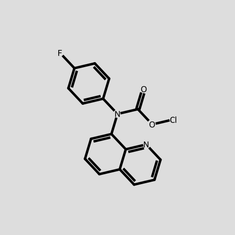 O=C(OCl)N(c1ccc(F)cc1)c1cccc2cccnc12